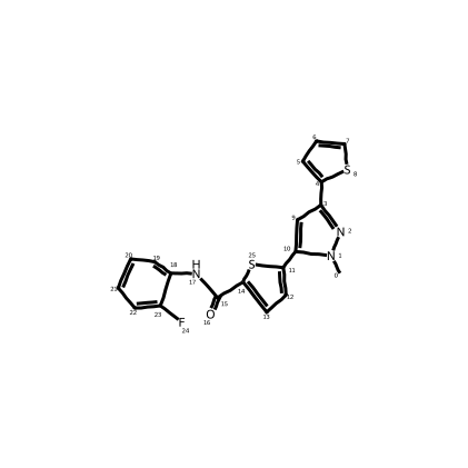 Cn1nc(-c2cccs2)cc1-c1ccc(C(=O)Nc2ccccc2F)s1